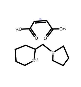 C1CCC(CN2CCCC2)NC1.O=C(O)/C=C\C(=O)O